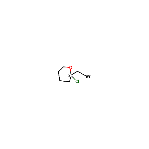 CC(C)C[Si]1(Cl)CCCCO1